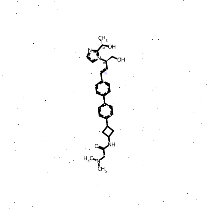 C[C@H](O)c1nccn1[C@H](/C=C/c1ccc(-c2ccc(C3CC(NC(=O)CN(C)C)C3)cc2)cc1)CO